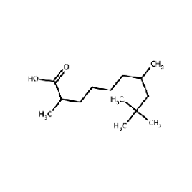 CC(CCCCC(C)C(=O)O)CC(C)(C)C